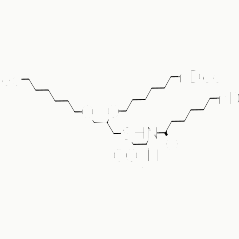 CCCCCCCCCCCCCCCCOC[C@H](CSC[C@H](NC(=O)CCCCCCCCCCCCCCC)C(=O)O)OCCCCCCCCCCCCCCCC